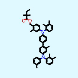 CCC(C)(C)C(=O)OCc1ccc(N(c2ccc(-c3ccc(N(c4cccc(C)c4)c4cccc(C)c4C)cc3C)cc2)c2cccc(C)c2C)cc1C